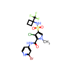 Cn1cc(S(=O)(=O)NC2(C(F)(F)F)CCC2)c(Cl)c1C(=O)Nc1ccnc(Br)c1